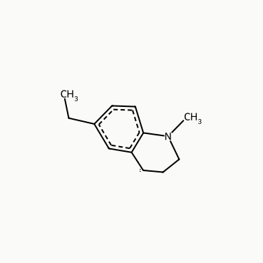 CCc1ccc2c(c1)[C]CCN2C